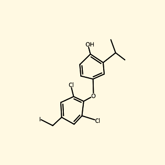 CC(C)c1cc(Oc2c(Cl)cc(CI)cc2Cl)ccc1O